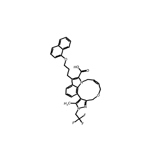 Cc1c2c(nn1CC(F)(F)F)COC/C=C\Cn1c(C(=O)O)c(CCCOc3cccc4ccccc34)c3cccc-2c31